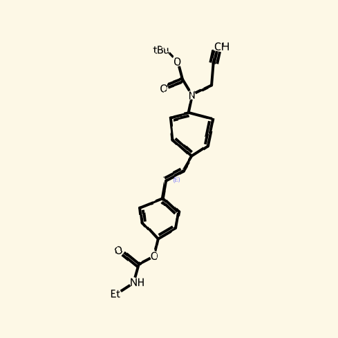 C#CCN(C(=O)OC(C)(C)C)c1ccc(/C=C/c2ccc(OC(=O)NCC)cc2)cc1